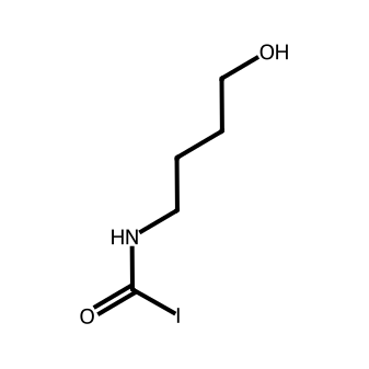 O=C(I)NCCCCO